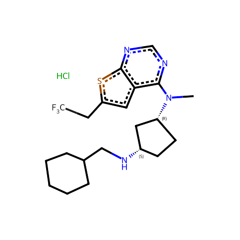 CN(c1ncnc2sc(CC(F)(F)F)cc12)[C@@H]1CC[C@H](NCC2CCCCC2)C1.Cl